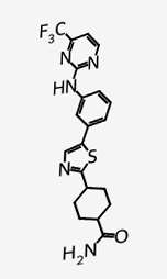 NC(=O)C1CCC(c2ncc(-c3cccc(Nc4nccc(C(F)(F)F)n4)c3)s2)CC1